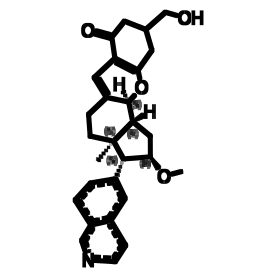 CO[C@@H]1C[C@H]2[C@@H]3OC4=C(C=C3CC[C@]2(C)[C@H]1c1ccc2cnccc2c1)C(=O)CC(CO)C4